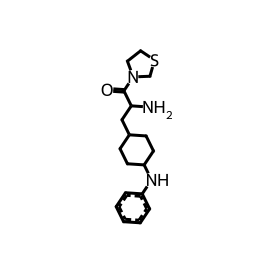 NC(CC1CCC(Nc2ccccc2)CC1)C(=O)N1CCSC1